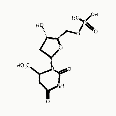 O=C1CC(C(=O)O)N([C@H]2C[C@H](O)[C@@H](COP(=O)(O)O)O2)C(=O)N1